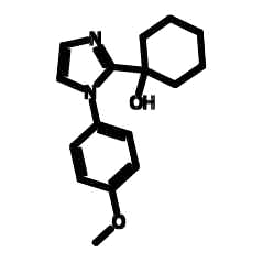 COc1ccc(-n2ccnc2C2(O)CCCCC2)cc1